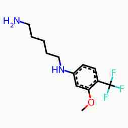 COc1cc(NCCCCCN)ccc1C(F)(F)F